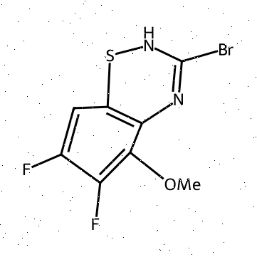 COc1c(F)c(F)cc2c1N=C(Br)NS2